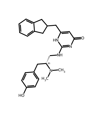 CN(C)[C@@H](CNc1nc(=O)cc(CC2Cc3ccccc3C2)[nH]1)Cc1ccc(O)cc1